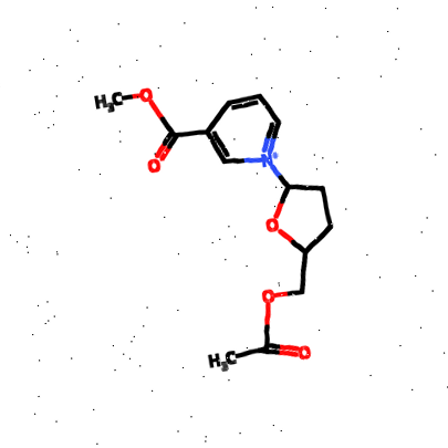 COC(=O)c1ccc[n+](C2CCC(COC(C)=O)O2)c1